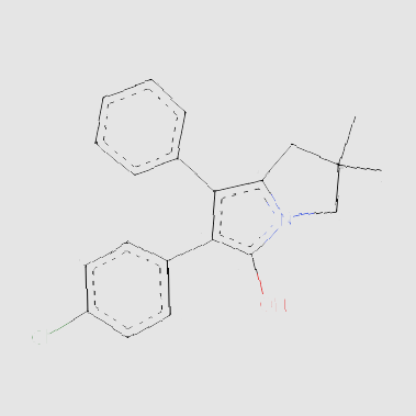 CC1(C)Cc2c(-c3ccccc3)c(-c3ccc(Cl)cc3)c(O)n2C1